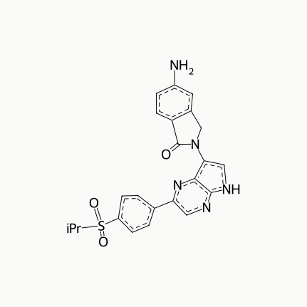 CC(C)S(=O)(=O)c1ccc(-c2cnc3[nH]cc(N4Cc5cc(N)ccc5C4=O)c3n2)cc1